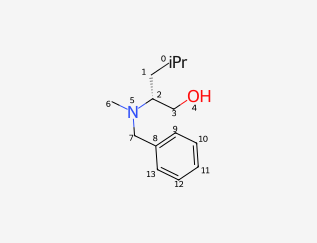 CC(C)C[C@H](CO)N(C)Cc1ccccc1